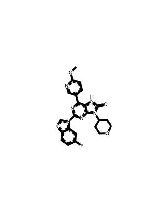 COc1ccc(-c2nc(-n3cnc4ccc(F)cc43)nc3c2[nH]c(=O)n3C2CCOCC2)cn1